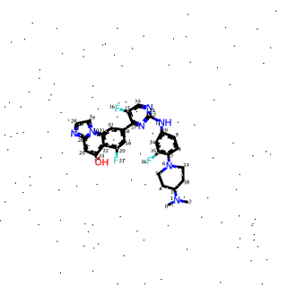 CN(C)C1CCN(c2ccc(Nc3ncc(F)c(-c4cc(F)c5c(O)cc6nccn6c5c4)n3)cc2F)CC1